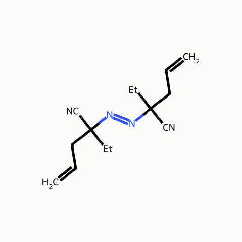 C=CCC(C#N)(CC)N=NC(C#N)(CC)CC=C